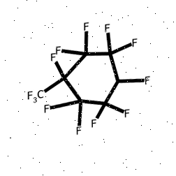 FC1C(F)(F)C(F)(F)C(F)(C(F)(F)F)C(F)(F)C1(F)F